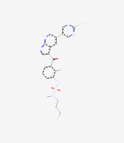 COc1ncc(-c2cnc3[nH]cc(C(=O)c4cccc(NS(=O)(=O)N(C)CCCF)c4F)c3c2)cn1